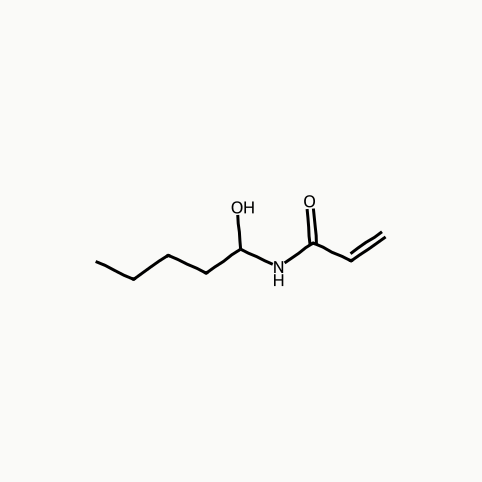 C=CC(=O)NC(O)CCCC